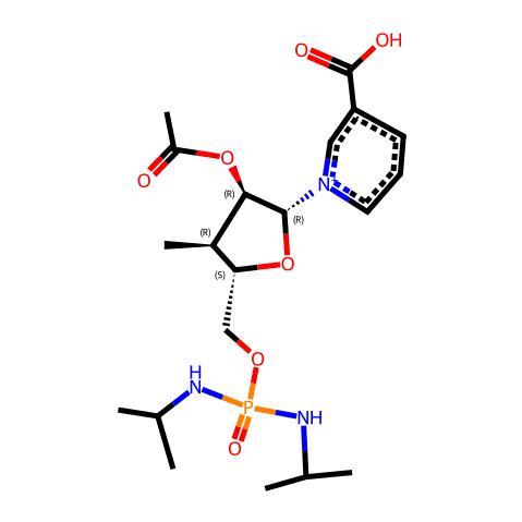 CC(=O)O[C@@H]1[C@H](C)[C@@H](COP(=O)(NC(C)C)NC(C)C)O[C@H]1[n+]1cccc(C(=O)O)c1